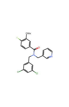 COc1cc(C(=O)N(Cc2cccnc2)Cc2cc(Cl)cc(Cl)c2)ccc1F